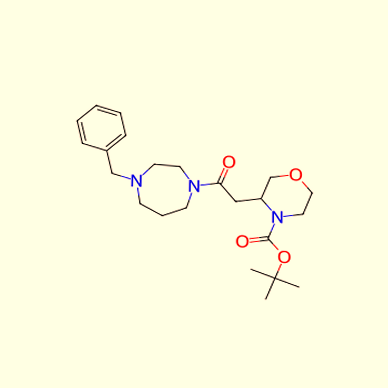 CC(C)(C)OC(=O)N1CCOCC1CC(=O)N1CCCN(Cc2ccccc2)CC1